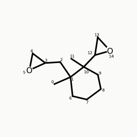 CC1(CC2CO2)CCCCC1(C)C1CO1